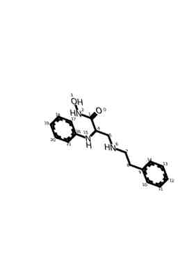 O=C(NO)C(CNCCc1ccccc1)Nc1ccccc1